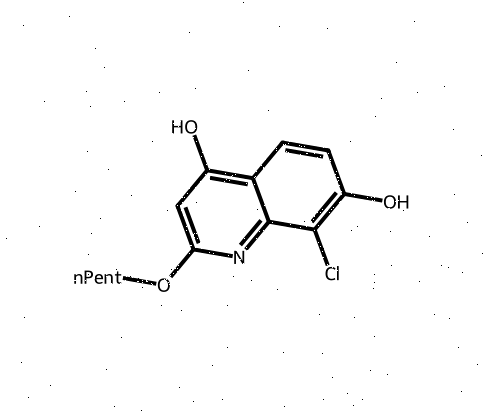 CCCCCOc1cc(O)c2ccc(O)c(Cl)c2n1